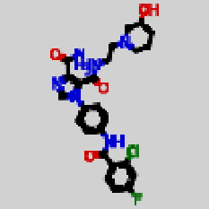 NC(=O)c1ncn(-c2ccc(NC(=O)c3ccc(F)cc3Cl)cc2)c1C(=O)NCCN1CCCC(O)C1